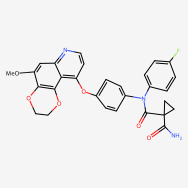 COc1cc2nccc(Oc3ccc(N(C(=O)C4(C(N)=O)CC4)c4ccc(F)cc4)cc3)c2c2c1OCCO2